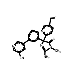 CN1C(=O)C(c2cccc(-c3cncc(C#N)c3)c2)(c2ccc(CF)cn2)N=C1N